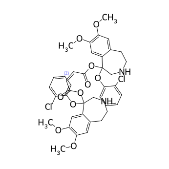 COc1cc2c(cc1OC)C(OC(=O)/C=C\C(=O)OC1(Oc3ccccc3Cl)CNCCc3cc(OC)c(OC)cc31)(Oc1ccccc1Cl)CNCC2